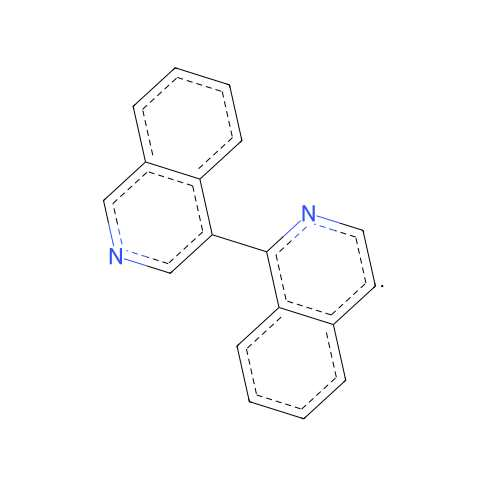 [c]1cnc(-c2cncc3ccccc23)c2ccccc12